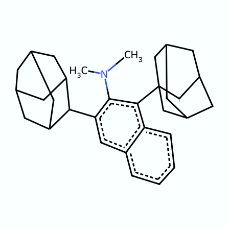 CN(C)c1c(C2C3CC4CC(C3)CC2C4)cc2ccccc2c1C12[CH]C3CC(CC(C3)C1)C2